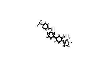 CN(C)c1ccc(Nc2nccc(-c3ccc(N4CCCC4)c(N)c3)n2)cn1